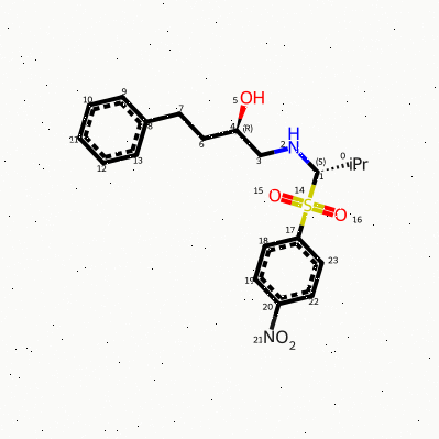 CC(C)[C@@H](NC[C@H](O)[CH]Cc1ccccc1)S(=O)(=O)c1ccc([N+](=O)[O-])cc1